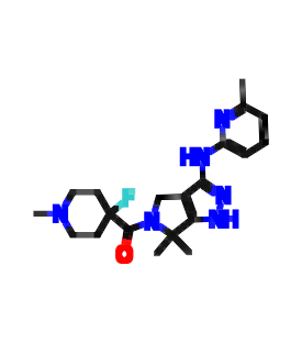 Cc1cccc(Nc2n[nH]c3c2CN(C(=O)C2(F)CCN(C)CC2)C3(C)C)n1